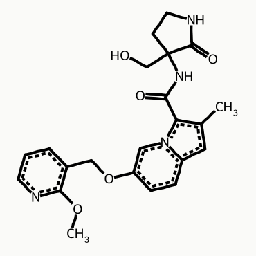 COc1ncccc1COc1ccc2cc(C)c(C(=O)NC3(CO)CCNC3=O)n2c1